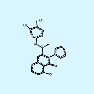 CCOC(=O)c1cnc(N[C@@H](C)c2cc3cccc(Cl)c3c(=O)n2-c2ccccc2)nc1N